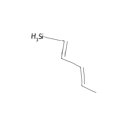 CC=CC=C[SiH3]